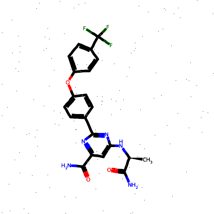 C[C@H](Nc1cc(C(N)=O)nc(-c2ccc(Oc3ccc(C(F)(F)F)cc3)cc2)n1)C(N)=O